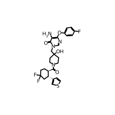 Nc1c(Oc2ccc(F)cc2)ncn(CC2(O)CCN(C(=O)[C@@H]3CCC(F)(F)C[C@H]3c3ccsc3)CC2)c1=O